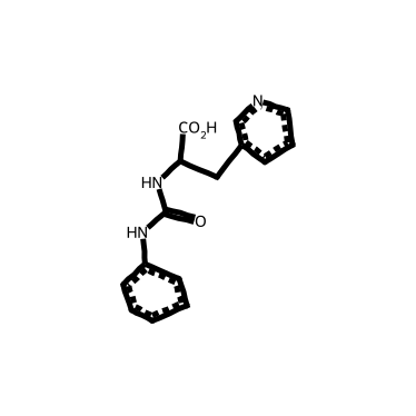 O=C(Nc1ccccc1)NC(Cc1cccnc1)C(=O)O